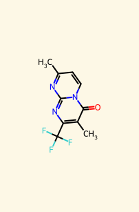 Cc1ccn2c(=O)c(C)c(C(F)(F)F)nc2n1